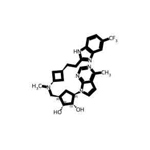 Cc1ncnc2c1ccn2[C@@H]1C[C@H](CN(C)[C@H]2C[C@H](CCc3nc4cc(C(F)(F)F)ccc4[nH]3)C2)[C@@H](O)[C@H]1O